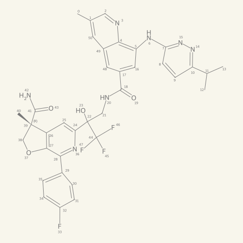 Cc1cnc2c(Nc3ccc(C(C)C)nn3)cc(C(=O)NCC(O)(c3cc4c(c(-c5ccc(F)cc5)n3)OC[C@]4(C)C(N)=O)C(F)(F)F)cc2c1